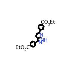 CCOC(=O)c1ccc(-c2ccc3c(-c4ccc(C(=O)OCC)cc4)n[nH]c3n2)cc1